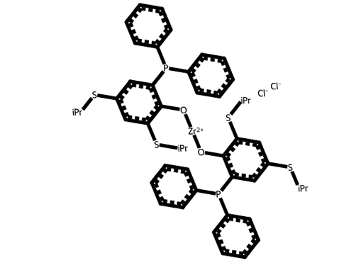 CC(C)Sc1cc(SC(C)C)c([O][Zr+2][O]c2c(SC(C)C)cc(SC(C)C)cc2P(c2ccccc2)c2ccccc2)c(P(c2ccccc2)c2ccccc2)c1.[Cl-].[Cl-]